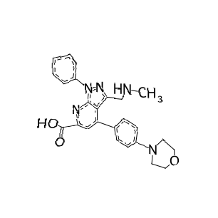 CNCc1nn(-c2ccccc2)c2nc(C(=O)O)cc(-c3ccc(N4CCOCC4)cc3)c12